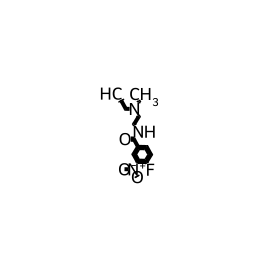 C#CCN(CC)CCNC(=O)c1ccc(F)c([N+](=O)[O-])c1